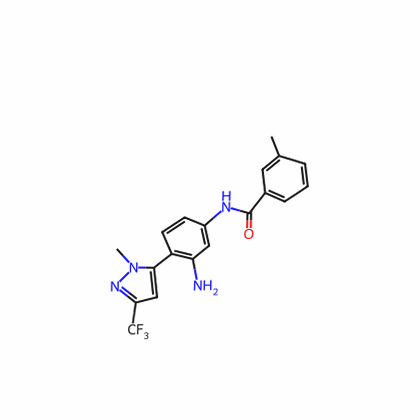 Cc1cccc(C(=O)Nc2ccc(-c3cc(C(F)(F)F)nn3C)c(N)c2)c1